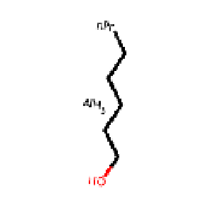 CCCCCCCCO.[AlH3]